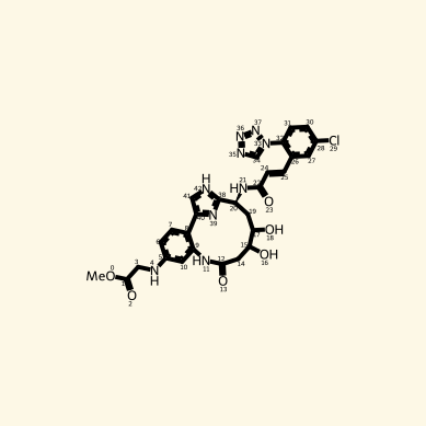 COC(=O)CNc1ccc2c(c1)NC(=O)CC(O)C(O)C[C@H](NC(=O)/C=C/c1cc(Cl)ccc1-n1cnnn1)c1nc-2c[nH]1